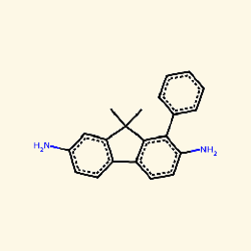 CC1(C)c2cc(N)ccc2-c2ccc(N)c(-c3ccccc3)c21